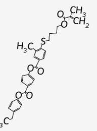 C=C(C)C(=O)OCCCCSc1ccc(C(=O)Oc2ccc(C(=O)Oc3ccc(CC)cc3)cc2)cc1C